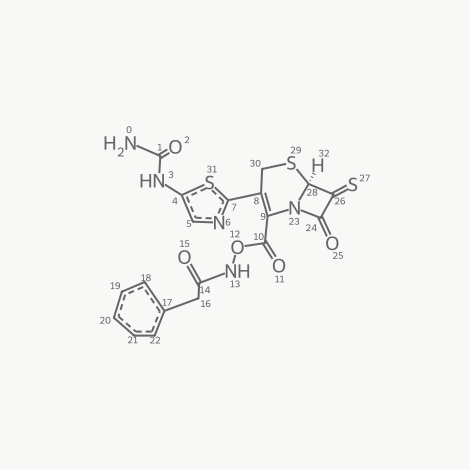 NC(=O)Nc1cnc(C2=C(C(=O)ONC(=O)Cc3ccccc3)N3C(=O)C(=S)[C@@H]3SC2)s1